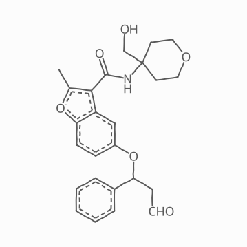 Cc1oc2ccc(OC(CC=O)c3ccccc3)cc2c1C(=O)NC1(CO)CCOCC1